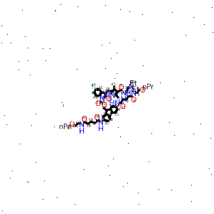 CCCOCCNC(=O)CCCC(=O)Nc1ccc2c(c1)C(COC(=O)N1C(=O)/C(=C\c3[nH]c(C)c(C(=O)NCCN(CC)CC)c3C)c3cc(F)ccc31)c1cc(NC(=O)CCCC(=O)NCCOCCC)ccc1-2